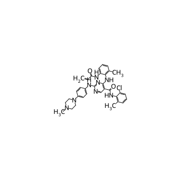 C=CC(=O)Nc1cccc(C)c1Nc1nc(Nc2ccc(N3CCN(C)CC3)cc2)ncc1C(=O)Nc1c(C)cccc1Cl